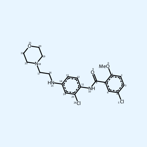 COc1ccc(Cl)cc1C(=O)Nc1ccc(NCCN2CCOCC2)cc1Cl